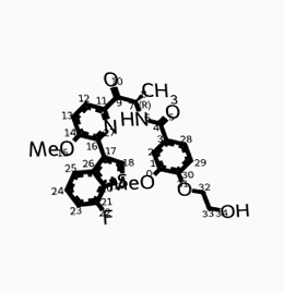 COc1cc(C(=O)N[C@H](C)C(=O)c2ccc(OC)c(-c3csc4c(F)cccc34)n2)ccc1OCCO